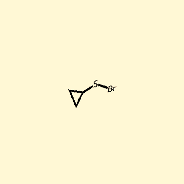 BrSC1CC1